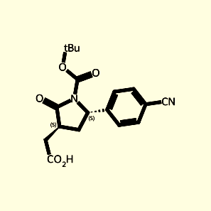 CC(C)(C)OC(=O)N1C(=O)[C@H](CC(=O)O)C[C@H]1c1ccc(C#N)cc1